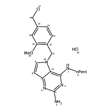 CCCCCNc1nc(N)nc2ccn(Cc3ccc(CCl)cc3OC)c12.Cl